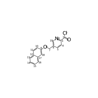 O=C(Cl)c1ccc(COc2ccc3ccccc3c2)cn1